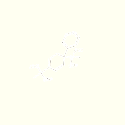 CO[Si](C)(OC)C1=CCC(c2ccccc2)([Si](C)(OC)OC)C=C1